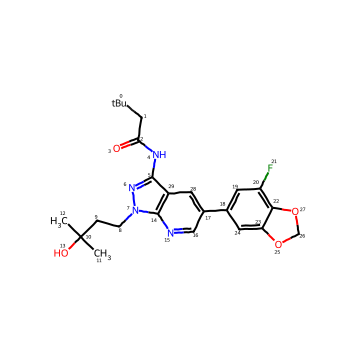 CC(C)(C)CC(=O)Nc1nn(CCC(C)(C)O)c2ncc(-c3cc(F)c4c(c3)OCO4)cc12